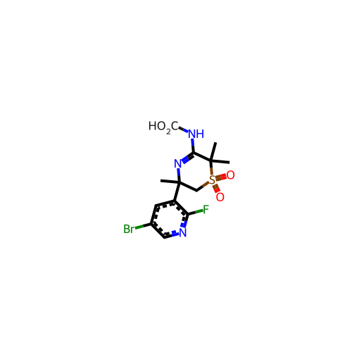 CC1(c2cc(Br)cnc2F)CS(=O)(=O)C(C)(C)C(NC(=O)O)=N1